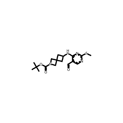 CSc1ncc(C=O)c(NC2CC3(C2)CN(C(=O)OC(C)(C)C)C3)n1